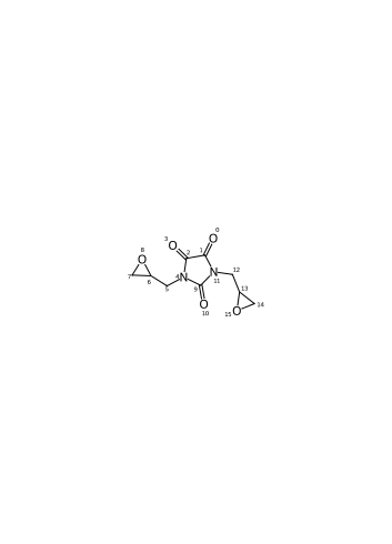 O=C1C(=O)N(CC2CO2)C(=O)N1CC1CO1